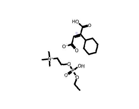 CCOP(=O)(O)OCC[N+](C)(C)C.O=C([O-])/C=C(/C(=O)O)C1CCCCC1